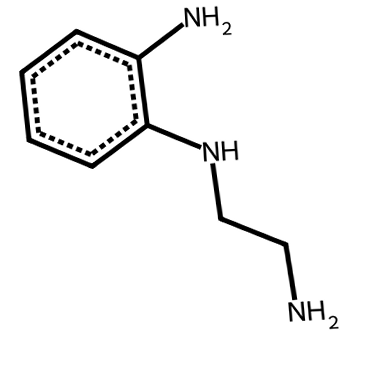 NCCNc1ccccc1N